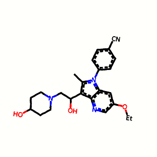 CCOc1cnc2c(C(O)CN3CCC(O)CC3)c(C)n(-c3ccc(C#N)cc3)c2c1